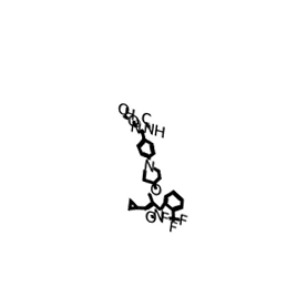 CN/C(=N\OC=O)c1ccc(N2CCC(OCc3c(-c4ccccc4C(F)(F)F)noc3C3CC3)CC2)cc1